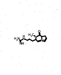 CN1C(=O)C2CC=C[N+]2=CC1CCCNC(=N)N